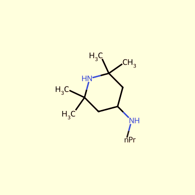 [CH2]CCNC1CC(C)(C)NC(C)(C)C1